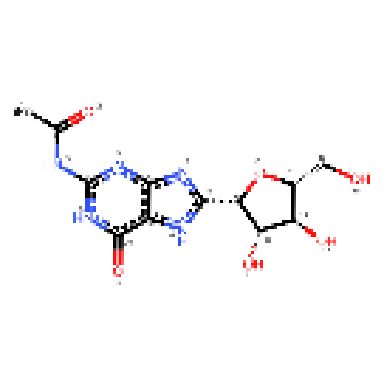 CC(C)C(=O)Nc1nc2nc([C@@H]3O[C@H](CO)[C@@H](O)[C@@H]3O)[nH]c2c(=O)[nH]1